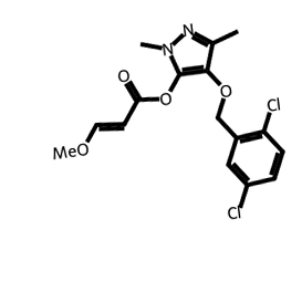 COC=CC(=O)Oc1c(OCc2cc(Cl)ccc2Cl)c(C)nn1C